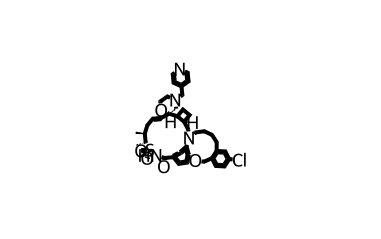 C[C@@H]1[C@@H](C)C/C=C/[C@]2(CN(Cc3ccncc3)CCO2)[C@@H]2CC[C@H]2CN2CCCCc3cc(Cl)ccc3COc3ccc(cc32)C(=O)NS1(=O)=O